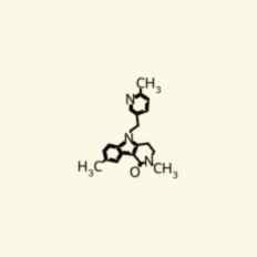 Cc1ccc2c(c1)c1c(n2CCc2ccc(C)nc2)CCN(C)C1=O